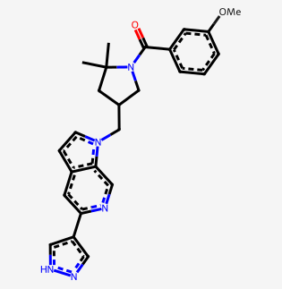 COc1cccc(C(=O)N2CC(Cn3ccc4cc(-c5cn[nH]c5)ncc43)CC2(C)C)c1